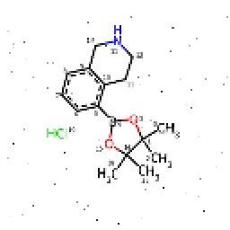 CC1(C)OB(c2cccc3c2CCNC3)OC1(C)C.Cl